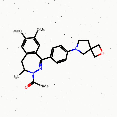 CNC(=O)N1N=C(c2ccc(N3CCC4(COC4)C3)cc2)c2cc(OC)c(OC)cc2CC1C